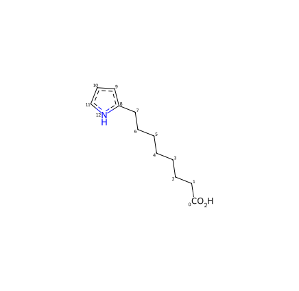 O=C(O)CCCCCCCc1ccc[nH]1